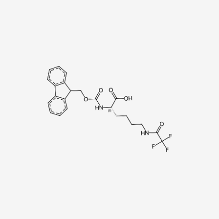 O=C(N[C@@H](CCCCNC(=O)C(F)(F)F)C(=O)O)OCC1c2ccccc2-c2ccccc21